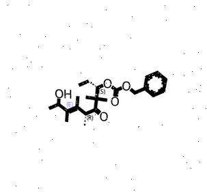 CC[C@H](OC(=O)OCc1ccccc1)C(C)(C)C(=O)[C@H](C)/C(C)=C(\C)C(C)O